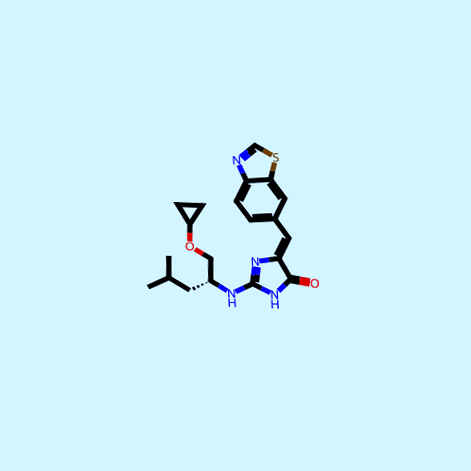 CC(C)C[C@H](COC1CC1)NC1=N/C(=C\c2ccc3ncsc3c2)C(=O)N1